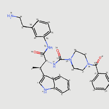 C[C@H](c1c[nH]c2ccccc12)[C@@H](NC(=O)N1CCN(C(=O)c2ccccc2)CC1)C(=O)Nc1cccc(CCN)c1